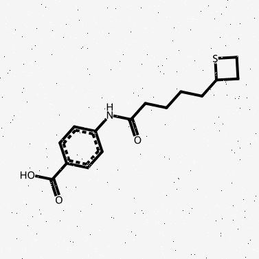 O=C(CCCCC1CCS1)Nc1ccc(C(=O)O)cc1